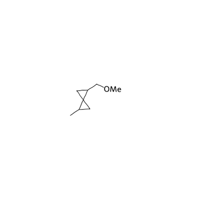 COCC1CC12CC2C